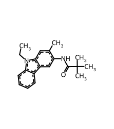 CCn1c2ccccc2c2cc(NC(=O)C(C)(C)C)c(C)cc21